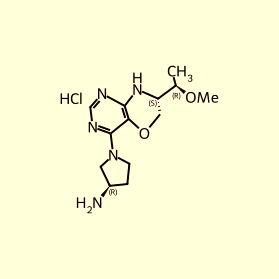 CO[C@H](C)[C@@H]1COc2c(ncnc2N2CC[C@@H](N)C2)N1.Cl